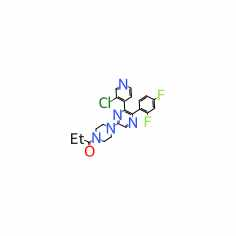 CCC(=O)N1CCN(c2cnc(-c3ccc(F)cc3F)c(-c3ccncc3Cl)n2)CC1